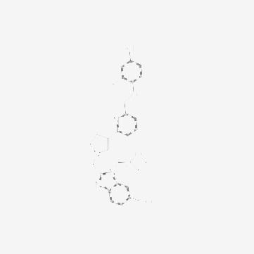 O=C(O)c1ccc2nc(CN3CCC(c4cccc(COc5ccc(Cl)cc5Cl)n4)C3)n(C[C@@H]3CCO3)c2c1